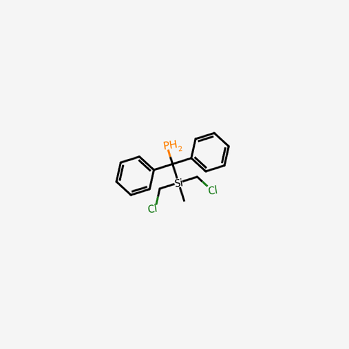 C[Si](CCl)(CCl)C(P)(c1ccccc1)c1ccccc1